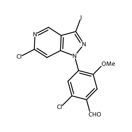 COc1cc(C=O)c(Cl)cc1-n1nc(I)c2cnc(Cl)cc21